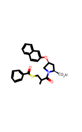 CC(CSC(=O)c1ccccc1)C(=O)N1C[C@@H](Oc2ccc3ccccc3c2)C[C@H]1C(=O)O